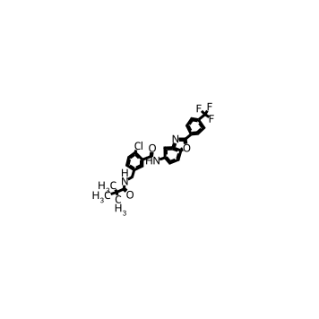 CC(C)(C)C(=O)NCc1ccc(Cl)c(C(=O)Nc2ccc3oc(-c4ccc(C(F)(F)F)cc4)nc3c2)c1